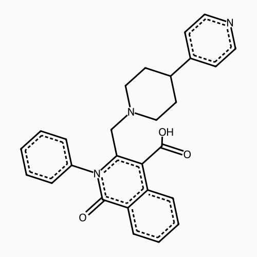 O=C(O)c1c(CN2CCC(c3ccncc3)CC2)n(-c2ccccc2)c(=O)c2ccccc12